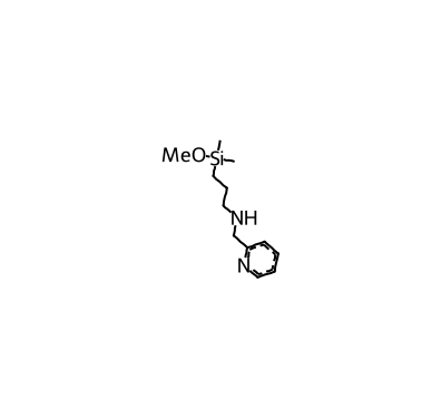 CO[Si](C)(C)CCCNCc1ccccn1